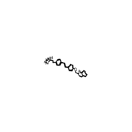 C(=Cc1ccc(OCc2ccc3ccccc3n2)cc1)c1ccc(CCc2nnn[nH]2)cc1